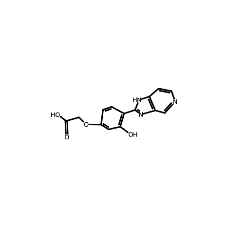 O=C(O)COc1ccc(-c2nc3cnccc3[nH]2)c(O)c1